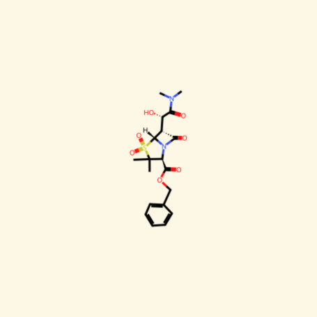 CN(C)C(=O)[C@@H](O)[C@@H]1C(=O)N2[C@@H](C(=O)OCc3ccccc3)C(C)(C)S(=O)(=O)[C@H]12